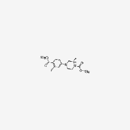 COC(=O)c1ccc(N2CCN(C(=O)OC(C)(C)C)[C@H](C)C2)cc1F